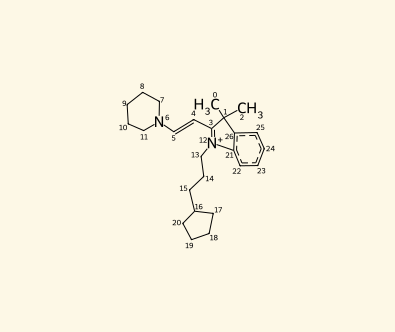 CC1(C)C(/C=C/N2CCCCC2)=[N+](CCCC2CCCC2)c2ccccc21